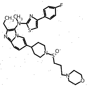 CCc1nc2ccc(C3CCN([S+]([O-])CCCN4CCOCC4)CC3)cn2c1N(C)c1nc(-c2ccc(F)cc2)cs1